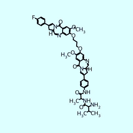 COc1cc2c(cc1OCCCOc1cc3c(cc1OC)C(=O)N1C=C(c4ccc(NC(=O)C(C)NC(=O)C(N)C(C)C)cc4)C[C@H]1C=N3)N=C[C@@H]1CC(c3ccc(F)cc3)=CN1C2=O